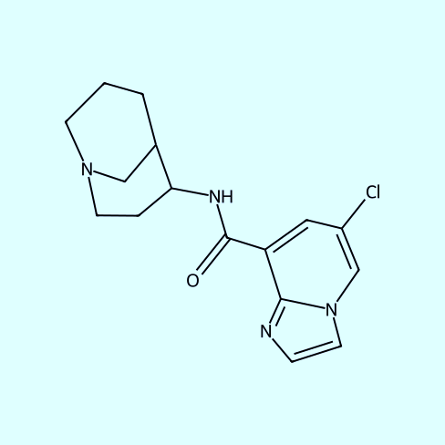 O=C(NC1CCN2CCCC1C2)c1cc(Cl)cn2ccnc12